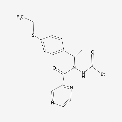 CCC(=O)NN(C(=O)c1cnccn1)C(C)c1ccc(SCC(F)(F)F)nc1